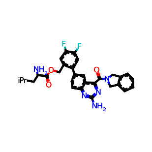 CC(C)CC(N)C(=O)OCc1cc(F)c(F)cc1-c1ccc2nc(N)nc(C(=O)N3Cc4ccccc4C3)c2c1